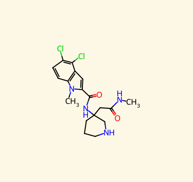 CNC(=O)CC1(NC(=O)c2cc3c(Cl)c(Cl)ccc3n2C)CCCNC1